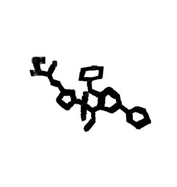 C=CC(c1cc(-c2ccccc2)ccc1CN1CCOCC1)S(=O)(=O)n1ccc(/C=C/C(=O)NO)c1